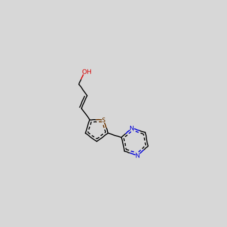 OCC=Cc1ccc(-c2cnccn2)s1